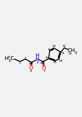 CCCC(=O)NC(=O)c1ccc(CC)cc1